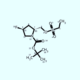 CCS(=O)(=O)OC[C@H]1C[C@H](F)CN1C(=O)OC(C)(C)C